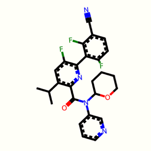 CC(C)c1cc(F)c(-c2c(F)ccc(C#N)c2F)nc1C(=O)N(c1cccnc1)C1CCCCO1